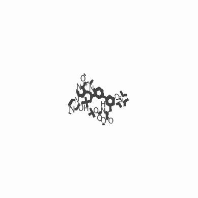 CCn1c(-c2cc(N3CCN(C)CC3)cnc2[C@H](C)OC)c(CC(C)(C)CO)c2cc(-c3cc(C[C@H](NC(=O)OC(C)(C)C)C(=O)OC)cc(O[Si](C(C)C)(C(C)C)C(C)C)c3)ccc21